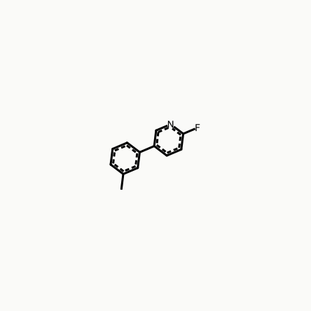 Cc1cccc(-c2ccc(F)nc2)c1